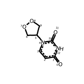 O=c1ccn(C2COOC2)c(=O)[nH]1